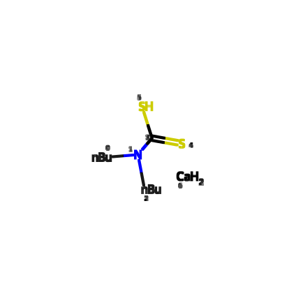 CCCCN(CCCC)C(=S)S.[CaH2]